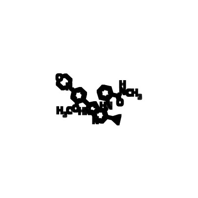 CNC(=O)c1ccccc1Nc1c(C2CC2)cnc2[nH]c(-c3ccc(N4CCOCC4)cc3OC)cc12